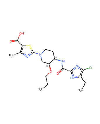 CCCO[C@H]1CN(c2nc(C)c(C(=O)O)s2)CC[C@H]1NC(=O)c1nc(Cl)c(CC)[nH]1